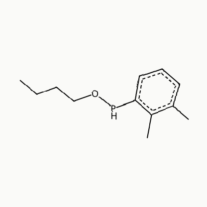 CCCCOPc1cccc(C)c1C